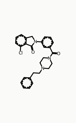 O=C(c1cccc(N2Cc3cccc(Cl)c3C2=O)c1)N1CCN(CCc2ccccc2)CC1